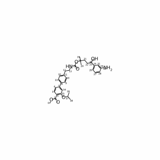 COC(=O)c1ccc(-c2ccc(CCNC(=O)OC(C)(C)CC[C@@H](O)c3cccc(N)c3)cc2)cc1OC(C)C